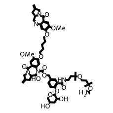 C=C1CC2C=Nc3cc(OCCCCCOc4cc5c(cc4OC)C(=O)N4CC(=C)CC4C(O)N5C(=O)OCc4ccc(O[C@@H]5OCC(O)CC5O)c(C(=O)NCCC(C)(C)OCCC(C)(C)ON)c4)c(OC)cc3C(=O)N2C1